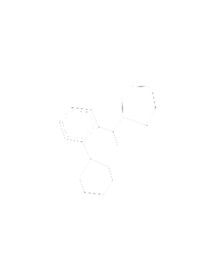 O=C(O)C(c1ccccc1C1CCCCC1)N1CCOCC1